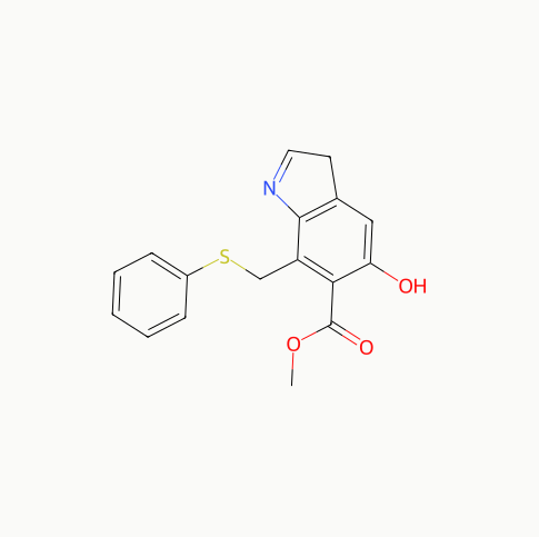 COC(=O)c1c(O)cc2c(c1CSc1ccccc1)N=CC2